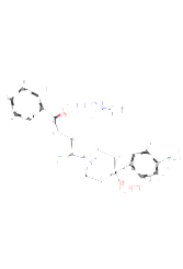 CCN.O=C(CCC(F)N1CCC(O)(c2ccc(Cl)cc2)CC1)c1ccccc1